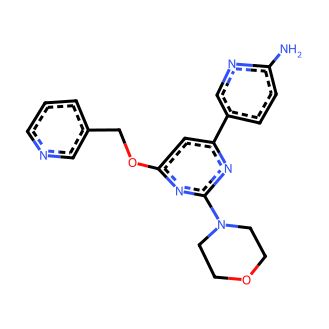 Nc1ccc(-c2cc(OCc3cccnc3)nc(N3CCOCC3)n2)cn1